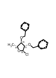 C[C@H]1O[C@H](Cl)[C@@H](OCc2ccccc2)[C@@H]1OCc1ccccc1